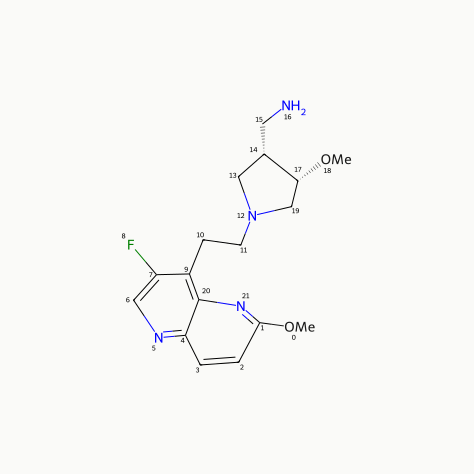 COc1ccc2ncc(F)c(CCN3C[C@H](CN)[C@H](OC)C3)c2n1